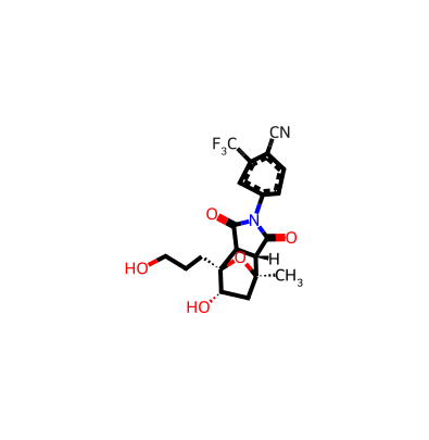 C[C@]12C[C@H](O)[C@](CCCO)(O1)C1C(=O)N(c3ccc(C#N)c(C(F)(F)F)c3)C(=O)[C@@H]12